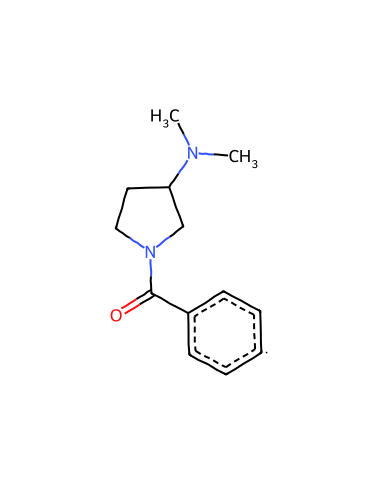 CN(C)C1CCN(C(=O)c2cc[c]cc2)C1